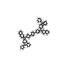 c1ccc(-n2c3ccccc3c3cc(N(c4ccc(-c5ccc(-c6ccc(N(c7ccc8ccccc8c7)c7ccc8c(c7)c7ccccc7n8-c7ccccc7)cc6)cc5)cc4)c4ccc5ccccc5c4)ccc32)cc1